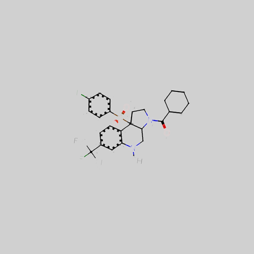 CN1CC2N(C(=O)C3CCCCC3)CCC2(S(=O)(=O)c2ccc(F)cc2)c2ccc(C(F)(C(F)(F)F)C(F)(F)F)cc21